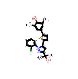 Cc1cc(-c2ccc(-c3cc(C(C)(C)O)nn3-c3ccccc3Cl)s2)cc(C)c1O